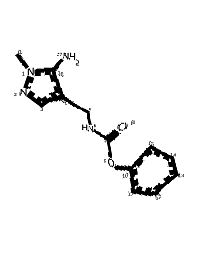 Cn1ncc(CNC(=O)Oc2ccccc2)c1N